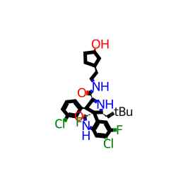 CC(C)(C)C[C@H]1N[C@@H](C(=O)NCC[C@H]2CC[C@@H](O)C2)[C@H](c2cccc(Cl)c2F)[C@@]12C(=O)Nc1cc(Cl)c(F)cc12